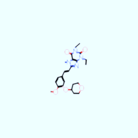 CCn1c(=O)c2c(nc(C=Cc3ccc(OC)c(OC4CCOCC4)c3)n2C)n(CC)c1=O